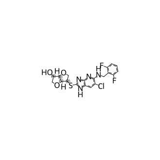 O[C@@H]1CO[C@H]2[C@@H]1OC[C@H]2Sc1nc2nc(NCc3c(F)cccc3F)c(Cl)cc2[nH]1